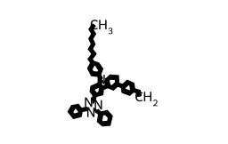 C=Cc1ccc(-c2ccc3c(c2)c2cc(-c4nc(-c5ccccc5)nc(-c5ccccc5)n4)ccc2n3-c2ccc(CCCCCCCC)cc2)cc1